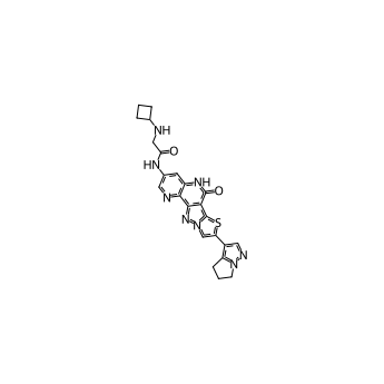 O=C(CNC1CCC1)Nc1cnc2c(c1)[nH]c(=O)c1c2nn2cc(-c3cnn4c3CCC4)sc12